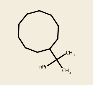 CCCC(C)(C)C1CCCCCCCCC1